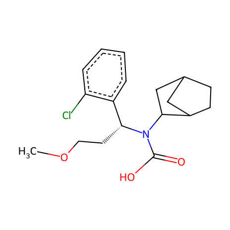 COCC[C@H](c1ccccc1Cl)N(C(=O)O)C1CC2CCC1C2